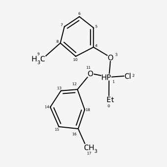 CC[PH](Cl)(Oc1cccc(C)c1)Oc1cccc(C)c1